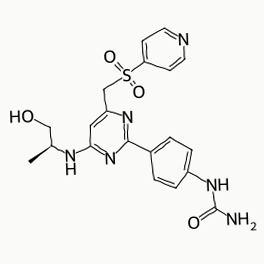 C[C@@H](CO)Nc1cc(CS(=O)(=O)c2ccncc2)nc(-c2ccc(NC(N)=O)cc2)n1